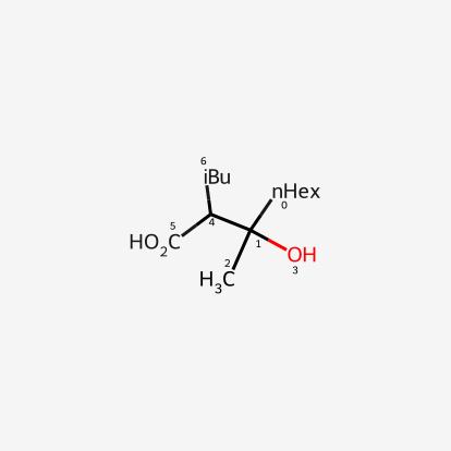 CCCCCCC(C)(O)C(C(=O)O)C(C)CC